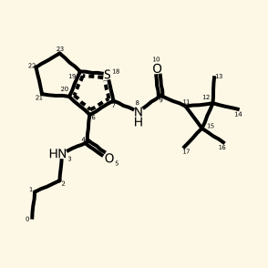 CCCNC(=O)c1c(NC(=O)C2C(C)(C)C2(C)C)sc2c1CCC2